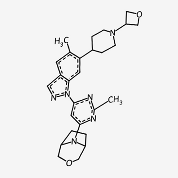 Cc1nc(N2C3CCC2COC3)cc(-n2ncc3cc(C)c(C4CCN(C5COC5)CC4)cc32)n1